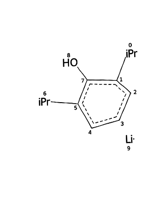 CC(C)c1cccc(C(C)C)c1O.[Li]